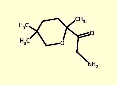 CC1(C)CCC(C)(C(=O)CN)OC1